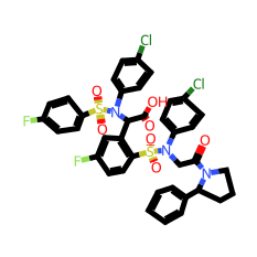 O=C(O)C(c1cc(F)ccc1S(=O)(=O)N(CC(=O)N1CCCC1c1ccccc1)c1ccc(Cl)cc1)N(c1ccc(Cl)cc1)S(=O)(=O)c1ccc(F)cc1